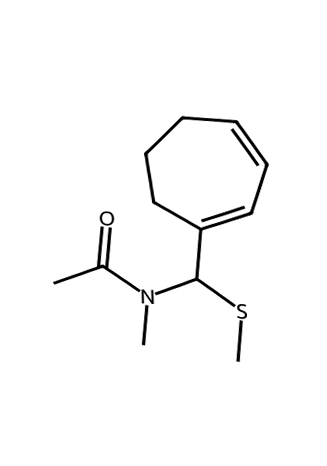 CSC(C1=CC=CCCC1)N(C)C(C)=O